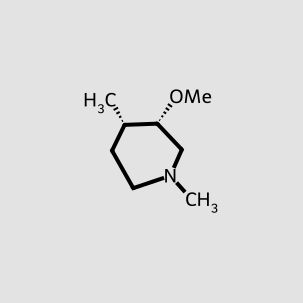 CO[C@@H]1CN(C)CC[C@@H]1C